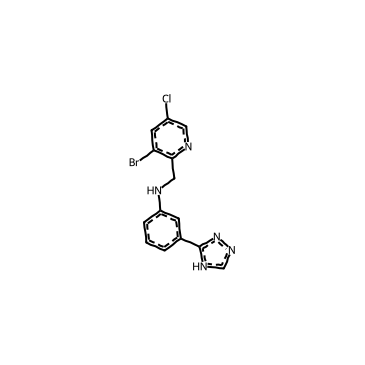 Clc1cnc(CNc2cccc(-c3nnc[nH]3)c2)c(Br)c1